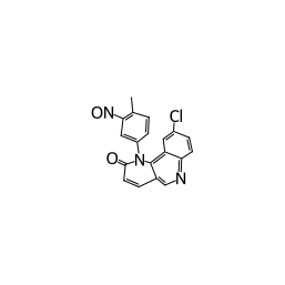 Cc1ccc(-n2c(=O)ccc3cnc4ccc(Cl)cc4c32)cc1N=O